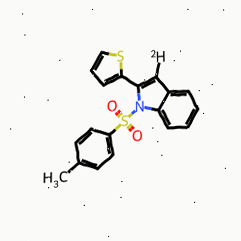 [2H]c1c(-c2cccs2)n(S(=O)(=O)c2ccc(C)cc2)c2ccccc12